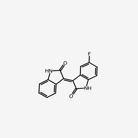 O=C1Nc2ccccc2/C1=C1\C(=O)Nc2ccc(F)cc21